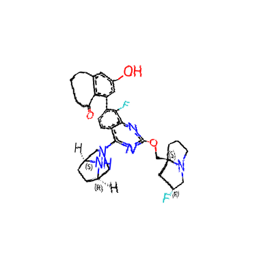 O=C1CCCc2cc(O)cc(-c3ccc4c(N5C[C@H]6CC[C@@H](C5)N6)nc(OC[C@@]56CCCN5C[C@H](F)C6)nc4c3F)c21